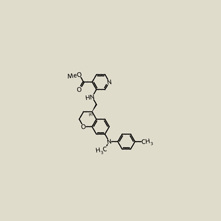 COC(=O)c1ccncc1NC[C@@H]1CCOc2cc(N(C)c3ccc(C)cc3)ccc21